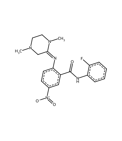 CN1CCN(C)C(=Nc2ccc([N+](=O)[O-])cc2C(=O)Nc2ccccc2F)C1